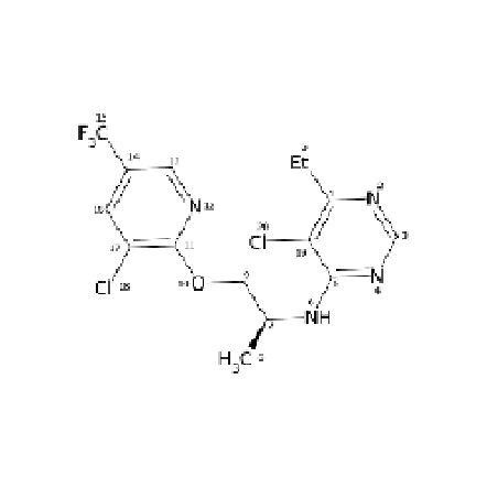 CCc1ncnc(N[C@@H](C)COc2ncc(C(F)(F)F)cc2Cl)c1Cl